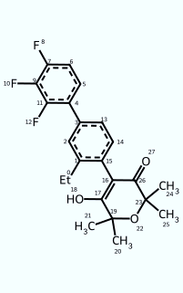 CCc1cc(-c2ccc(F)c(F)c2F)ccc1C1=C(O)C(C)(C)OC(C)(C)C1=O